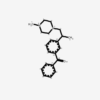 CC(CN1CCN(C)CC1)c1cccc(C(=O)c2ccccc2)c1